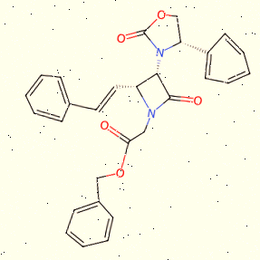 O=C(CN1C(=O)[C@@H](N2C(=O)OC[C@@H]2c2ccccc2)[C@H]1C=Cc1ccccc1)OCc1ccccc1